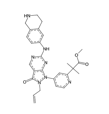 C=CCn1c(=O)c2cnc(Nc3ccc4c(c3)CCNC4)nc2n1-c1ccnc(C(C)(C)C(=O)OC)c1